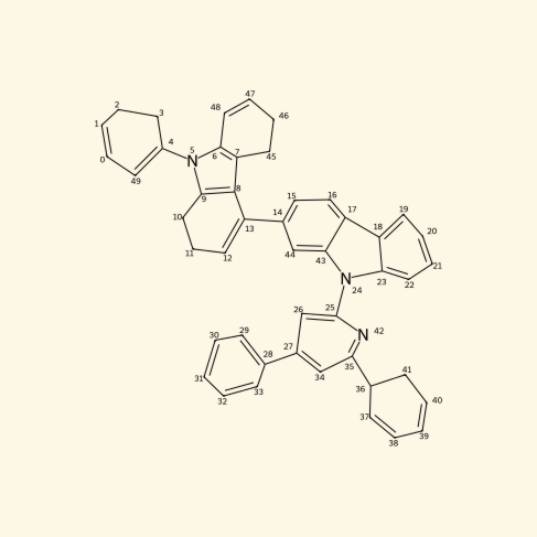 C1=CCCC(n2c3c(c4c2CCC=C4c2ccc4c5ccccc5n(-c5cc(-c6ccccc6)cc(C6C=CC=CC6)n5)c4c2)CCC=C3)=C1